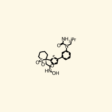 CC(C)CN(C(N)=O)c1cccc(-c2ccc([C@@]3(CC(=O)NO)CCCCS3(=O)=O)s2)c1